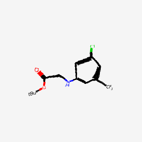 CC(C)(C)OC(=O)CNc1cc(Cl)cc(C(F)(F)F)c1